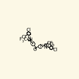 O=C(C1CCN(c2cc(C(F)(F)F)n(-c3ccc(Cl)cc3Cl)n2)CC1)C1CCN(c2cc(C(F)(F)F)n(-c3ccc(Cl)cc3Cl)n2)CC1